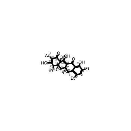 CCc1cc(CC)c2c(c1O)C(=O)C1=C(O)[C@@]3(O)C(=O)C(C(C)=O)=C(O)C(C(C)C)[C@@]3(C)C[C@@]1(C)C2